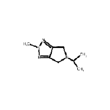 CC(C)N1Cc2nn(C)nc2C1